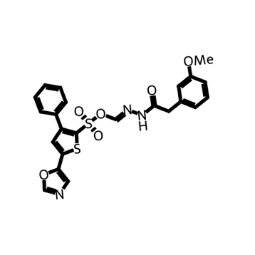 COc1cccc(CC(=O)N/N=C/OS(=O)(=O)c2sc(-c3cnco3)cc2-c2ccccc2)c1